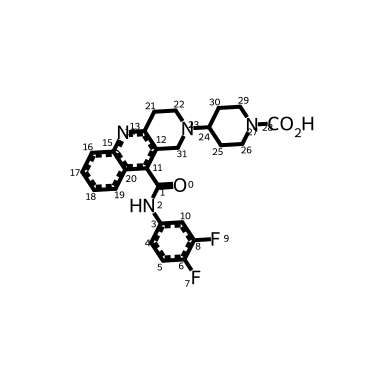 O=C(Nc1ccc(F)c(F)c1)c1c2c(nc3ccccc13)CCN(C1CCN(C(=O)O)CC1)C2